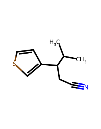 CC(C)C(CC#N)c1ccsc1